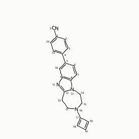 N#Cc1ccc(-c2ccc3c(c2)nc2n3CCN(C3=CC=C3)CC2)cc1